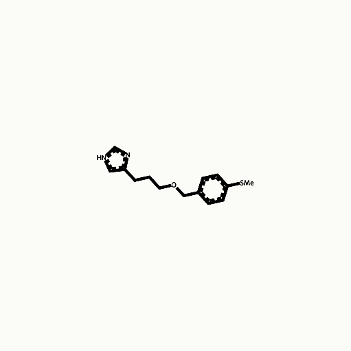 CSc1ccc(COCCCc2c[nH]cn2)cc1